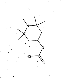 CN1C(C)(C)CC(OC(=O)S)CC1(C)C